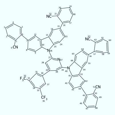 N#Cc1ccccc1-c1ccc2c(c1)c1cc(-c3ccccc3C#N)ccc1n2-c1cc(-c2cc(C(F)(F)F)cc(C(F)(F)F)c2)cc(-n2c3ccc(-c4ccccc4C#N)cc3c3cc(-c4ccccc4C#N)ccc32)n1